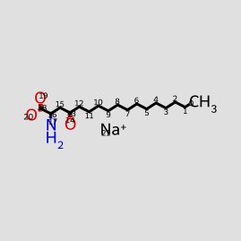 CCCCCCCCCCCCCC(=O)CC(N)C(=O)[O-].[Na+]